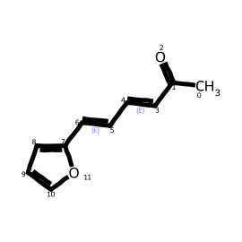 CC(=O)/C=C/C=C/c1ccco1